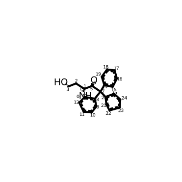 N[C@@H](CCO)C(=O)C(c1ccccc1)(c1ccccc1)c1ccccc1